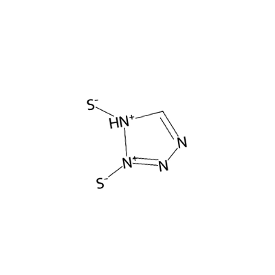 [S-][N+]1=NN=C[NH+]1[S-]